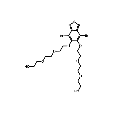 OCCOCCOCCOc1c(OCCOCCOCCO)c(Br)c2nsnc2c1Br